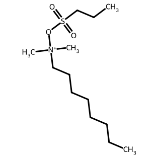 CCCCCCCC[N+](C)(C)OS(=O)(=O)CCC